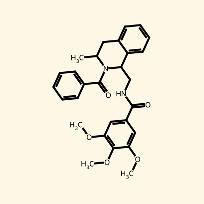 COc1cc(C(=O)NCC2c3ccccc3CC(C)N2C(=O)c2ccccc2)cc(OC)c1OC